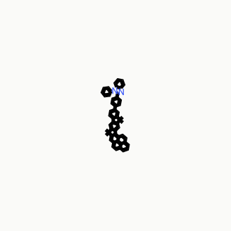 CC1(C)c2cc(-c3ccc(C4=NC5C=CC=CC5N4c4ccccc4)cc3)ccc2-c2cc3c(cc21)-c1c(cc2ccc4cccc5ccc1c2c45)C3(C)C